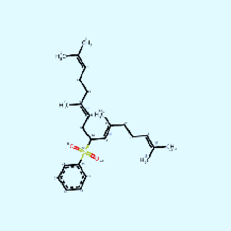 CC(C)=CCC/C(C)=C/CC(/C=C(\C)CCC=C(C)C)S(=O)(=O)c1ccccc1